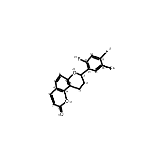 O=c1ccc2ccc3c(c2o1)CCC(c1cc(F)c(F)cc1F)O3